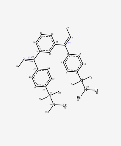 C/C=C(/c1ccc([Si](C)(C)N(CC)CC)cc1)c1cccc(/C(=C/C)c2ccc([Si](C)(C)N(C)CC)cc2)c1